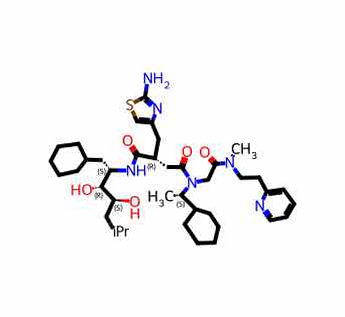 CC(C)C[C@H](O)[C@H](O)[C@H](CC1CCCCC1)NC(=O)[C@@H](CC(=O)N(CC(=O)N(C)CCc1ccccn1)[C@@H](C)C1CCCCC1)Cc1csc(N)n1